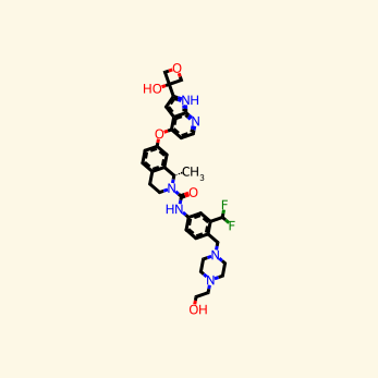 C[C@H]1c2cc(Oc3ccnc4[nH]c(C5(O)COC5)cc34)ccc2CCN1C(=O)Nc1ccc(CN2CCN(CCO)CC2)c(C(F)F)c1